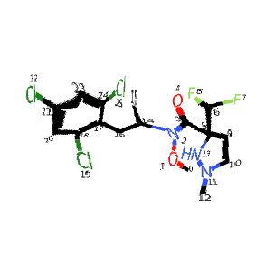 CON(C(=O)C1(C(F)F)C=CN(C)N1)C(C)Cc1c(Cl)cc(Cl)cc1Cl